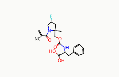 C=C(C#N)C(=O)N1C[C@@H](F)C[C@]1(C)COC(=O)N[C@@H](Cc1ccccc1)B(O)O